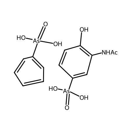 CC(=O)Nc1cc([As](=O)(O)O)ccc1O.O=[As](O)(O)c1ccccc1